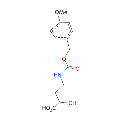 COc1ccc(COC(=O)NCC[C@H](O)C(=O)O)cc1